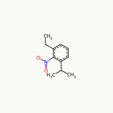 CCc1cccc([C](C)C)c1[N+](=O)[O-]